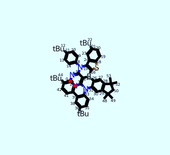 Cc1nc2c3c(n1)N(c1ccc(C(C)(C)C)cc1)c1c(sc4ccc(C(C)(C)C)cc14)B3c1cc3c(cc1N2c1ccc(C(C)(C)C)cc1-c1ccc(C(C)(C)C)cc1)C(C)(C)CC3(C)C